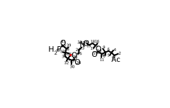 CC(=O)C(C)C(C)(C)CC(C)(C)C(C)C(=O)OC(C)(C)CCON(C)CCCOC(=O)C(C)C(C)(C)CC(C)(C)C(C)C(=O)P